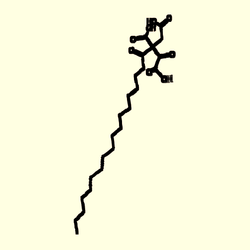 CCCCCCCCCCCCCCCCCC(=O)C(CC(=O)O)(C(=O)O)C(=O)C(=O)O